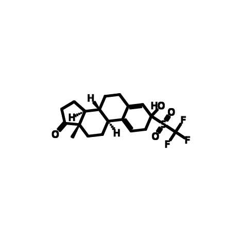 C[C@]12CC[C@@H]3C4=CCC(O)(S(=O)(=O)C(F)(F)F)C=C4CC[C@H]3[C@@H]1CCC2=O